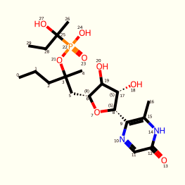 CCCC(C)(C[C@H]1O[C@@H](c2ncc(=O)[nH]c2C)[C@@H](O)C1O)OP(=O)(O)C(C)(O)CC